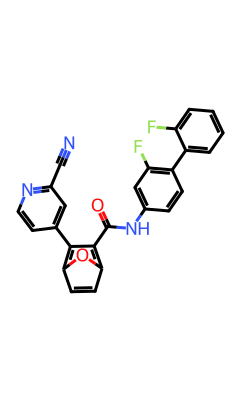 N#Cc1cc(-c2c(C(=O)Nc3ccc(-c4ccccc4F)c(F)c3)c3ccc2o3)ccn1